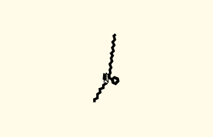 CCCCCCCCCCCCCCCN1C=CN(CCCCCCCCC)C1c1ccccc1